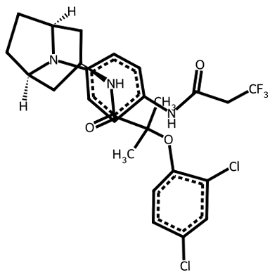 CC(C)(Oc1ccc(Cl)cc1Cl)C(=O)N[C@H]1C[C@H]2CC[C@@H](C1)N2c1ccc(NC(=O)CC(F)(F)F)cc1